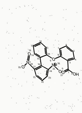 O=C(O)c1ccccc1Oc1ccccc1-c1c([N+](=O)[O-])cccc1[N+](=O)[O-]